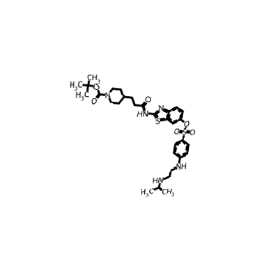 CC(C)NCCNc1ccc(S(=O)(=O)Oc2ccc3nc(NC(=O)CCC4CCN(C(=O)OC(C)(C)C)CC4)sc3c2)cc1